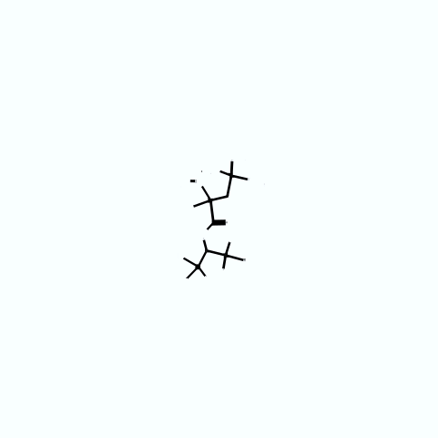 CPC(C)(CC(C)(C)C)C(=O)OC(C(F)(F)F)C(F)(F)F